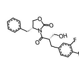 O=C1OC[C@@H](Cc2ccccc2)N1C(=O)[C@H](CO)Cc1ccc(F)c(F)c1